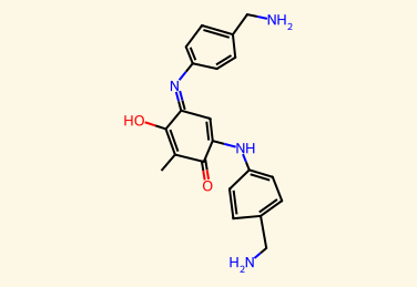 CC1=C(O)C(=Nc2ccc(CN)cc2)C=C(Nc2ccc(CN)cc2)C1=O